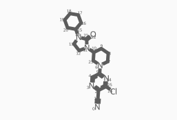 N#Cc1ncc(N2CCCC(N3CCN(C4CCCCC4)C3=O)C2)nc1Cl